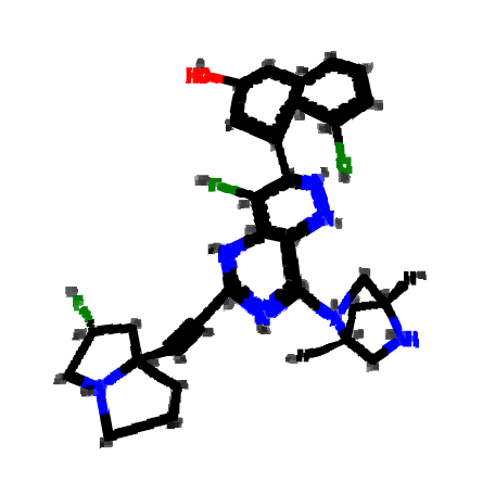 Oc1cc(-c2nnc3c(N4C[C@H]5C[C@@H]4CN5)nc(C#C[C@@]45CCCN4C[C@H](F)C5)nc3c2F)c2c(Cl)cccc2c1